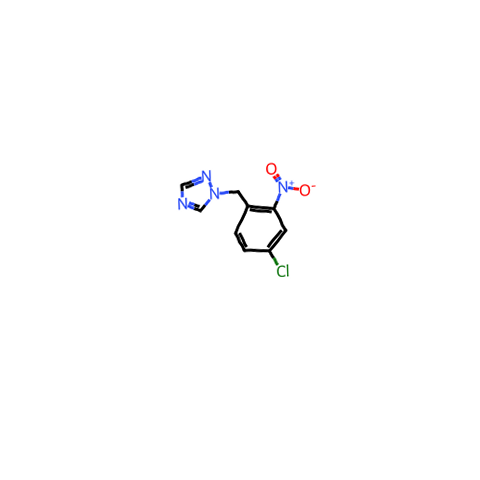 O=[N+]([O-])c1cc(Cl)ccc1Cn1cncn1